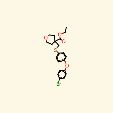 CCOC(=O)C1(CSc2ccc(Oc3ccc(Br)cc3)cc2)CCOCC1